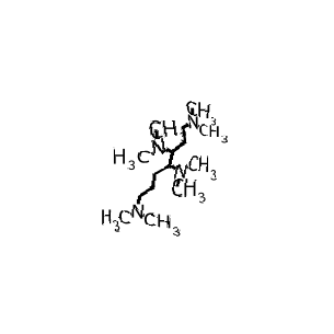 CN(C)CCCC(C(CCN(C)C)N(C)C)N(C)C